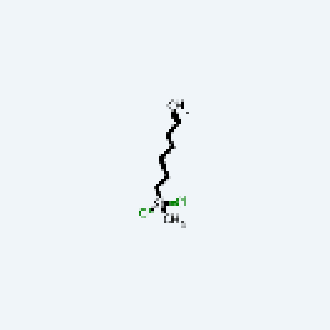 C=CCCCCC[Si](C)(Cl)Cl